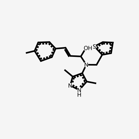 Cc1ccc(/C=C/C(O)N(Cc2cccs2)c2c(C)n[nH]c2C)cc1